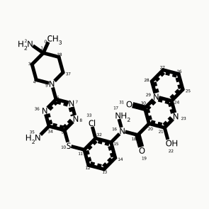 CC1(N)CCN(c2nnc(Sc3cccc(N(N)C(=O)c4c(O)nc5ccccn5c4=O)c3Cl)c(N)n2)CC1